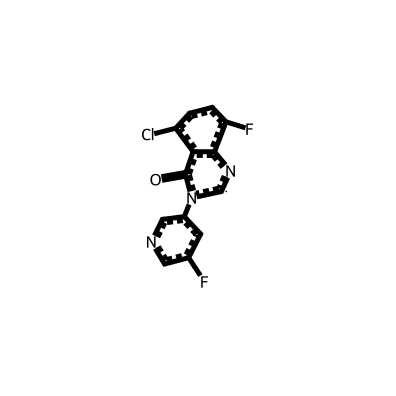 O=c1c2c(Cl)ccc(F)c2n[c]n1-c1cncc(F)c1